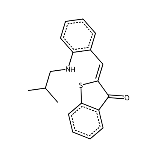 CC(C)CNc1ccccc1C=C1Sc2ccccc2C1=O